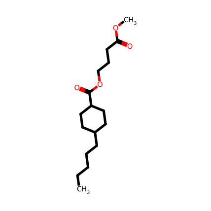 CCCCCC1CCC(C(=O)OCCCC(=O)OC)CC1